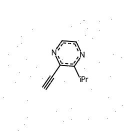 C#Cc1nccnc1C(C)C